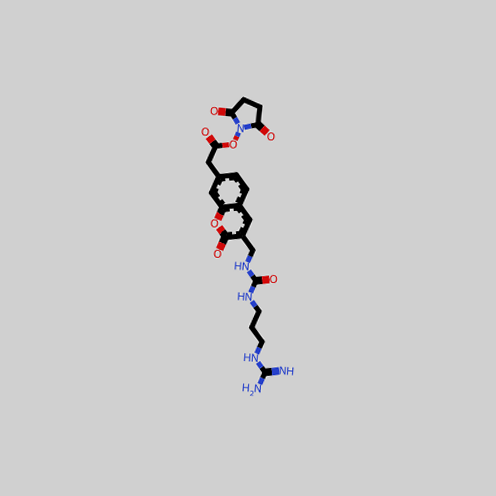 N=C(N)NCCCNC(=O)NCc1cc2ccc(CC(=O)ON3C(=O)CCC3=O)cc2oc1=O